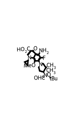 COc1c(N2CCC(N(C=O)OC(C)(C)C)C(C)(C)C2)c(F)c(N)c2c(=O)c(C(=O)O)cn(C3CC3)c12